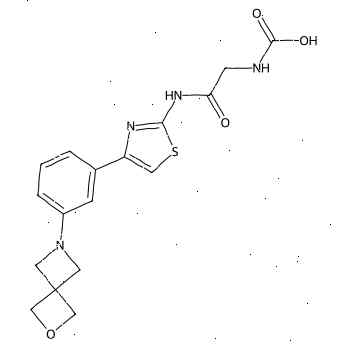 O=C(O)NCC(=O)Nc1nc(-c2cccc(N3CC4(COC4)C3)c2)cs1